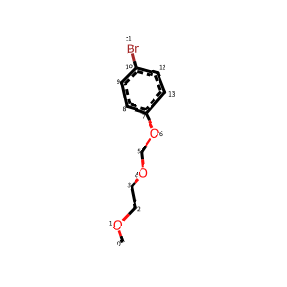 COCCOCOc1ccc(Br)cc1